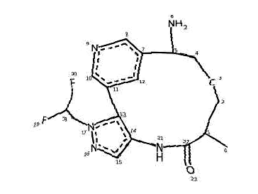 CC1CCCC(N)c2cncc(c2)-c2c(cnn2C(F)F)NC1=O